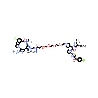 CN[C@H](C)C(=O)N[C@@H](C(=O)N1CCC[C@@H]1C1=NC(C(=O)c2ccc(F)cc2)CS1)C1CCN(CCOCCOCCOCCOCCC(=O)NCCn2nc3c(c2OC)-c2cnc(N)c(c2)N2CCC[C@@H]2c2cc(F)ccc2C(=O)N(C)C3)CC1